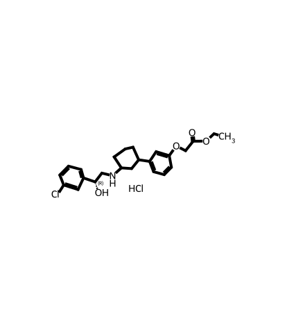 CCOC(=O)COc1cccc(C2CCCC(NC[C@H](O)c3cccc(Cl)c3)C2)c1.Cl